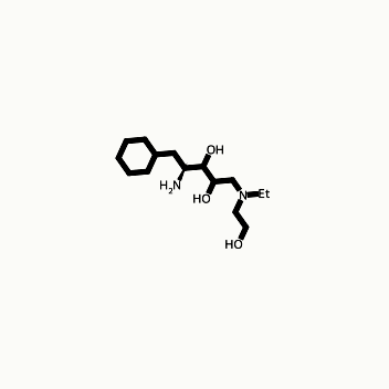 CCN(CCO)CC(O)C(O)[C@@H](N)CC1CCCCC1